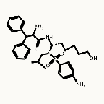 CC(C)CN([C@@H](CCCCCO)NC(=O)C(N)C(c1ccccc1)c1ccccc1)S(=O)(=O)c1ccc(N)cc1